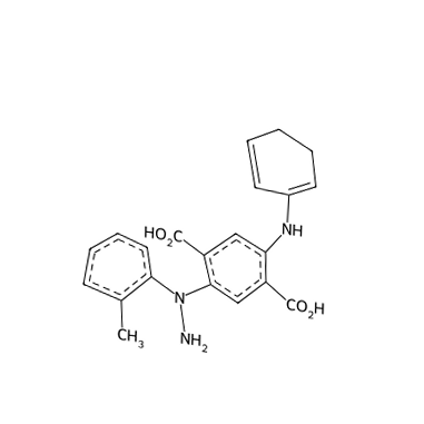 Cc1ccccc1N(N)c1cc(C(=O)O)c(NC2=CCCC=C2)cc1C(=O)O